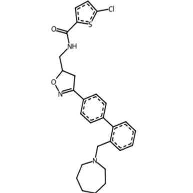 O=C(NCC1CC(c2ccc(-c3ccccc3CN3CCCCCC3)cc2)=NO1)c1ccc(Cl)s1